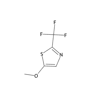 COc1cnc(C(F)(F)F)s1